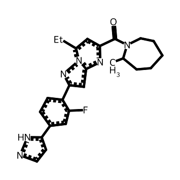 CCc1cc(C(=O)N2CCCCCC2C)nc2cc(-c3ccc(-c4ccn[nH]4)cc3F)nn12